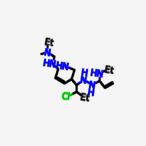 C=CC(NCC)NNC(C(Cl)CC)C1C=CC(NCN(C)CC)NC1